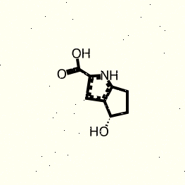 O=C(O)c1cc2c([nH]1)CC[C@@H]2O